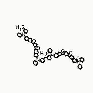 Cc1cccc(N(c2ccccc2)c2ccc3cc4c(cc3c2)oc2cc3oc5cc6cc(N(c7ccccc7)c7cccc(Cc8cccc(N(c9ccc%10cc%11c(cc%10c9)oc9cc%10oc%12cc%13cc(N(c%14ccccc%14)c%14ccccc%14C)ccc%13cc%12c%10cc9%11)c9ccccc9C)c8)c7)ccc6cc5c3cc24)c1